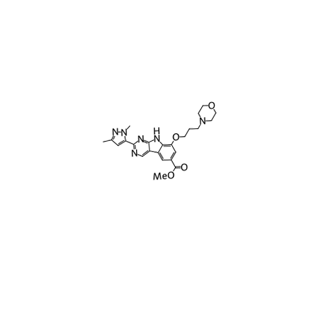 COC(=O)c1cc(OCCCN2CCOCC2)c2[nH]c3nc(-c4cc(C)nn4C)ncc3c2c1